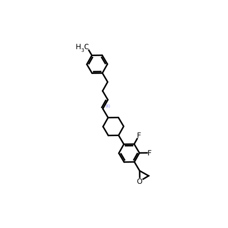 Cc1ccc(CC/C=C/C2CCC(c3ccc(C4CO4)c(F)c3F)CC2)cc1